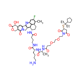 CCC(CC)(SC1CC(=O)N(CCOCCOCCC(=O)N[C@@H](C)C(=O)N[C@@H](CCCCN)C(=O)NCCCC(=O)N[C@H]2CCc3c(C)c(F)cc4nc5c(c2c34)Cn2c-5cc3c(c2=O)COC(=O)[C@H]3O)C1=O)C1CCCC1